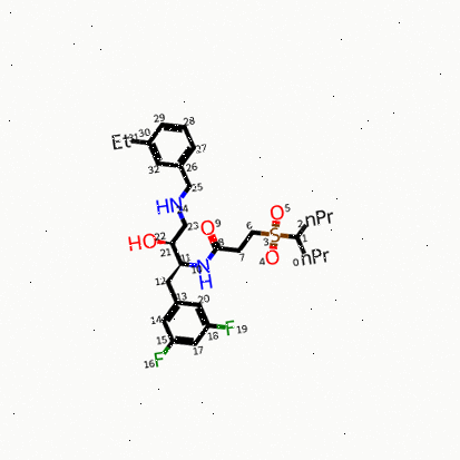 CCCC(CCC)S(=O)(=O)CCC(=O)N[C@@H](Cc1cc(F)cc(F)c1)[C@@H](O)CNCc1cccc(CC)c1